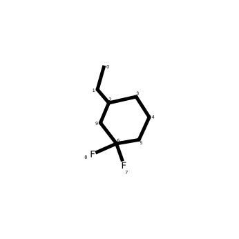 CCC1CCCC(F)(F)C1